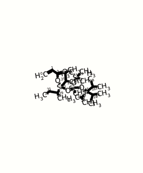 C=CC(=O)O[Si](O[Si](C)(O[Si](C)(C)C)O[Si](C(C)C)(C(C)C)C(C)C)(C(C)CC)C(C)CC